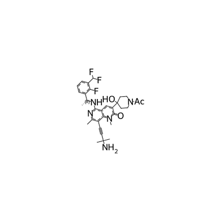 CC(=O)N1CCC(O)(c2cc3c(N[C@H](C)c4cccc(C(F)F)c4F)nc(C)c(C#CC(C)(C)N)c3n(C)c2=O)CC1